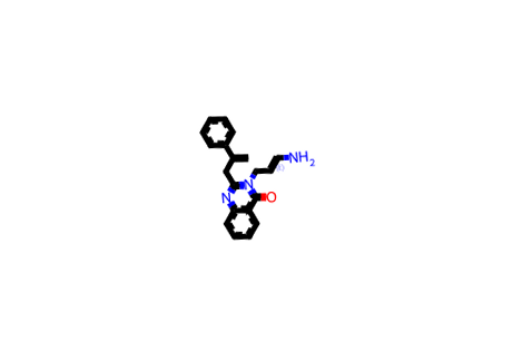 C=C(Cc1nc2ccccc2c(=O)n1C/C=C/N)c1ccccc1